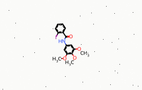 COc1cc(NC(=O)c2ccccc2I)cc(OC)c1OC